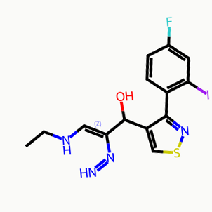 CCN/C=C(\N=N)C(O)c1csnc1-c1ccc(F)cc1I